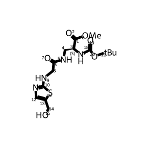 COC(=O)[C@H](CNC(=O)CNc1ncc(CO)s1)NC(=O)OC(C)(C)C